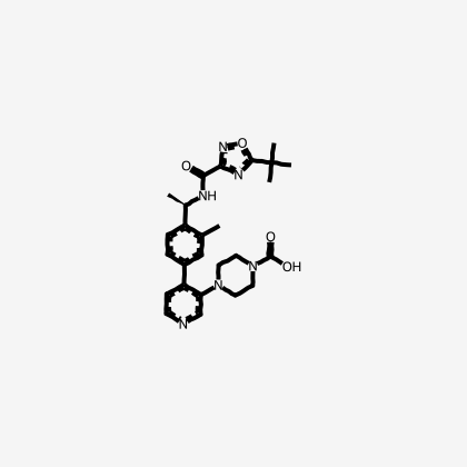 Cc1cc(-c2ccncc2N2CCN(C(=O)O)CC2)ccc1[C@@H](C)NC(=O)c1noc(C(C)(C)C)n1